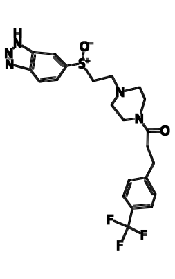 O=C(CCc1ccc(C(F)(F)F)cc1)N1CCN(CC[S+]([O-])c2ccc3nn[nH]c3c2)CC1